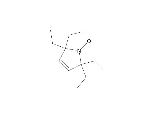 CCC1(CC)C=CC(CC)(CC)N1[O]